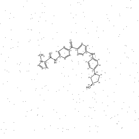 Cn1cccc1C(=O)Nc1ccc(C(=O)c2ccc(Nc3ccc(N4CC[C@@H](O)C4)cc3)cc2)cc1